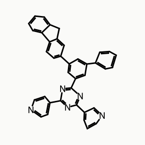 c1ccc(-c2cc(-c3ccc4c(c3)Cc3ccccc3-4)cc(-c3nc(-c4ccncc4)nc(-c4cccnc4)n3)c2)cc1